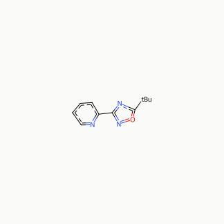 CC(C)(C)c1nc(-c2ccccn2)no1